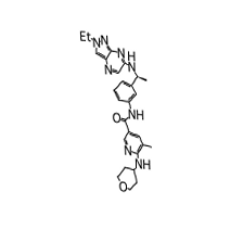 CCn1cc2ncc(N[C@@H](C)c3cccc(NC(=O)c4cnc(NC5CCOCC5)c(C)c4)c3)nc2n1